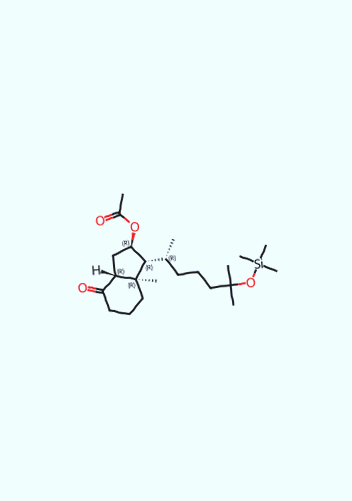 CC(=O)O[C@@H]1C[C@H]2C(=O)CCC[C@]2(C)[C@H]1[C@H](C)CCCC(C)(C)O[Si](C)(C)C